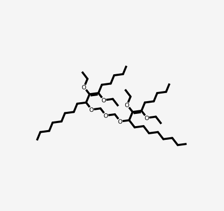 CCCCCCCCC(OCOCOC(CCCCCCCC)C(OCC)=C(CCCCC)OCC)C(OCC)=C(CCCCC)OCC